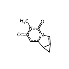 Cn1c(=O)cc2n(c1=O)C=C1CC12